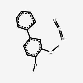 COc1ccc(-c2ccccc2)cc1OC.N=C=O